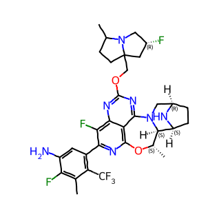 Cc1c(F)c(N)cc(-c2nc3c4c(nc(OCC56CCC(C)N5C[C@H](F)C6)nc4c2F)N2C[C@H]4CC[C@H](N4)[C@H]2[C@H](C)O3)c1C(F)(F)F